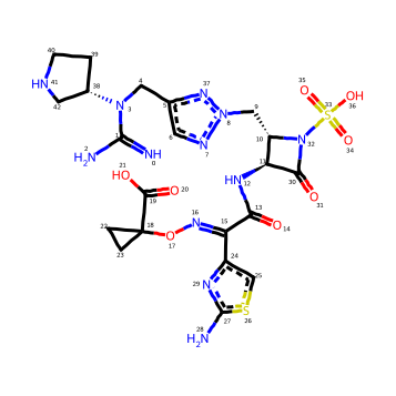 N=C(N)N(Cc1cnn(C[C@H]2[C@H](NC(=O)C(=NOC3(C(=O)O)CC3)c3csc(N)n3)C(=O)N2S(=O)(=O)O)n1)[C@H]1CCNC1